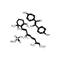 CC/C(=C(/CC)c1ccc(O)cc1)c1ccc(O)cc1.CC1=C(/C=C/C(C)=C/C=C/C(C)=C/C(=O)O)C(C)(C)CCC1.COS(C)(=O)=O